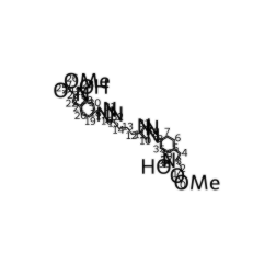 COOCc1cc2ccc(-n3cc(CCCc4cn(-c5ccc6cc(C(=O)OC)n(O)c6c5)nn4)nn3)cc2n1O